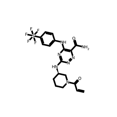 C=CC(=O)N1CCC[C@@H](Nc2nnc(C(N)=O)c(Nc3ccc(S(F)(F)(F)(F)F)cc3)n2)C1